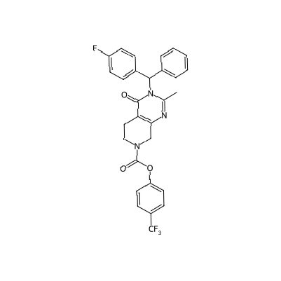 Cc1nc2c(c(=O)n1C(c1ccccc1)c1ccc(F)cc1)CCN(C(=O)Oc1ccc(C(F)(F)F)cc1)C2